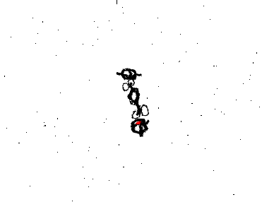 CC12CC3CC(C)(C1)CC(OC(=O)c1ccc(C(=O)OC45CC6CC(C)(CC(C)(C6)C4)C5)cc1)(C3)C2